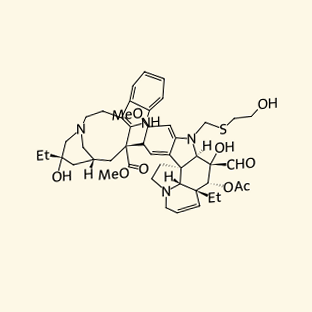 CC[C@]1(O)C[C@@H]2CN(CCc3c([nH]c4ccccc34)[C@@](C(=O)OC)(C3C=C4C(=CC3OC)N(CSCCO)[C@H]3[C@@](O)(C=O)[C@H](OC(C)=O)[C@]5(CC)C=CCN6CC[C@]43[C@@H]65)C2)C1